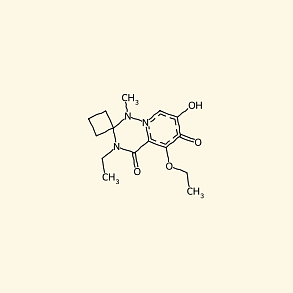 CCOc1c2n(cc(O)c1=O)N(C)C1(CCC1)N(CC)C2=O